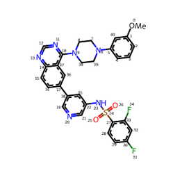 COc1cccc(N2CCN(c3ncnc4ccc(-c5cncc(NS(=O)(=O)c6ccc(F)cc6F)c5)cc34)CC2)c1